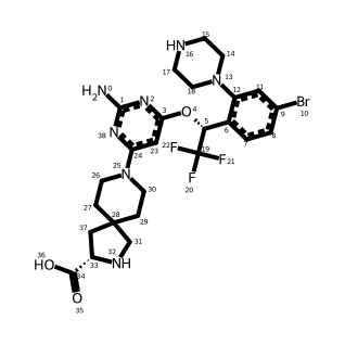 Nc1nc(O[C@H](c2ccc(Br)cc2N2CCNCC2)C(F)(F)F)cc(N2CCC3(CC2)CN[C@H](C(=O)O)C3)n1